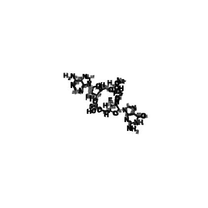 Nc1nc2c(ncn2[C@@H]2O[C@@H]3CO[P@@](O)(=S)O[C@H]4[C@H](F)[C@H](n5cnc6c(N)ncnc65)O[C@@H]4CO[P@@](O)(=S)O[C@@H]2[C@@H]3F)c(=O)[nH]1.O.[Na]